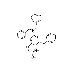 O[C@H]1COC2=CC(N(Cc3ccccc3)Cc3ccccc3)=CC(Cc3ccccc3)C2N1